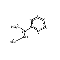 CC(C)(C)NN(C(=O)O)c1ccccn1